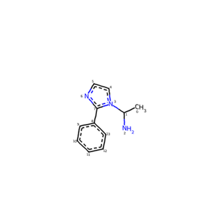 CC(N)n1ccnc1-c1ccccc1